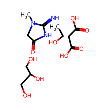 CCO.CN1CC(=O)NC1=N.O=C(O)CC(=O)O.OCC(O)CO